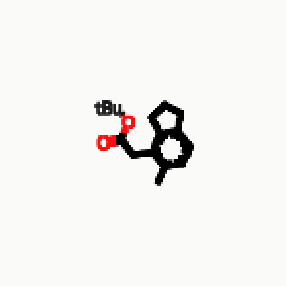 Cc1ccc2c(c1CC(=O)OC(C)(C)C)CCC2